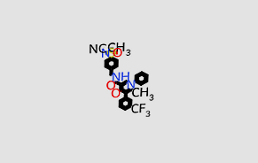 Cc1c(-c2cccc(C(F)(F)F)c2)c(=O)c(C(=O)NCc2ccc(S(C)(=O)=NC#N)cc2)cn1-c1ccccc1